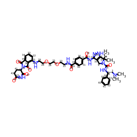 CN(C)C[C@@H](NC(=O)N1Cc2c(NC(=O)c3ccc(C(=O)NCCOCCOCCNc4cccc5c4C(=O)N(C4CCC(=O)NC4=O)C5=O)cc3)n[nH]c2C1(C)C)c1ccccc1